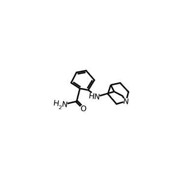 NC(=O)c1ccccc1NC1CN2CCC1CC2